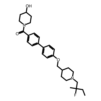 CCC(C)(F)CN1CCC(COc2ccc(-c3ccc(C(=O)N4CCC(O)CC4)cc3)cc2)CC1